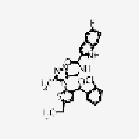 CCc1cc(C(=O)c2ccccc2Cl)c(-n2c(C)nnc2CNC(=O)c2cc3cc(F)ccc3[nH]2)s1